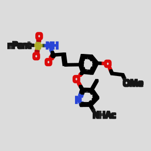 CCCCCS(=O)(=O)NC(=O)C=Cc1ccc(OCCOC)cc1Oc1ncc(NC(C)=O)cc1C